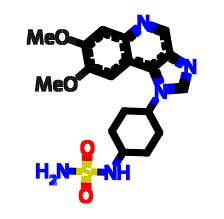 COc1cc2ncc3ncn(C4CCC(NS(N)(=O)=O)CC4)c3c2cc1OC